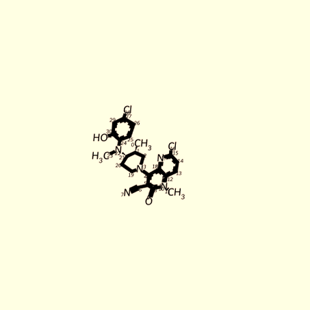 C[C@@H]1CN(c2c(C#N)c(=O)n(C)c3ccc(Cl)nc23)CC[C@@H]1N(C)c1ccc(Cl)cc1O